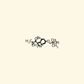 CN(C)C(=O)c1cnn2cc(OCC(C)(C)O)cc(Br)c12